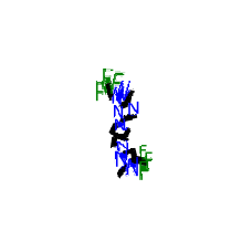 Cc1nc(N2CCC3(CCN(c4cnc5cnn(CC(F)(F)F)c5n4)CC3)C2)cc(C(F)(F)F)n1